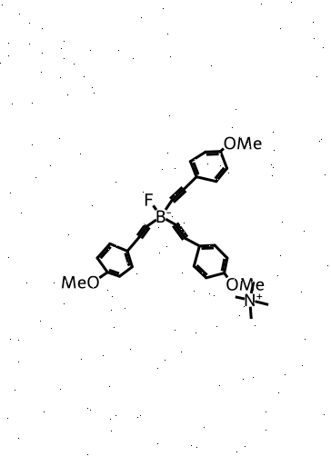 COc1ccc(C#C[B-](F)(C#Cc2ccc(OC)cc2)C#Cc2ccc(OC)cc2)cc1.C[N+](C)(C)C